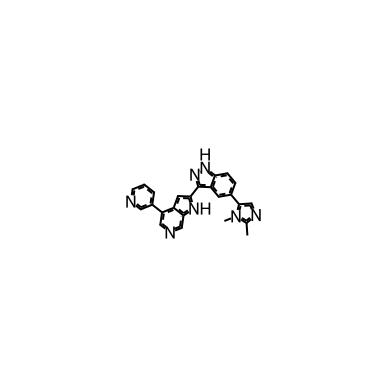 Cc1ncc(-c2ccc3[nH]nc(-c4cc5c(-c6cccnc6)cncc5[nH]4)c3c2)n1C